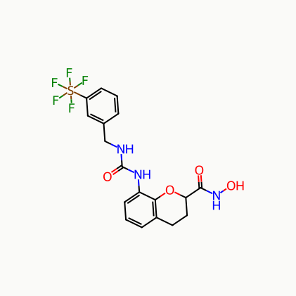 O=C(NCc1cccc(S(F)(F)(F)(F)F)c1)Nc1cccc2c1OC(C(=O)NO)CC2